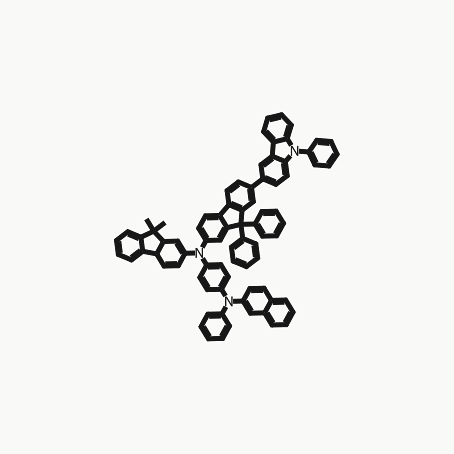 CC1(C)c2ccccc2C2C=CC(N(c3ccc(N(c4ccccc4)c4ccc5ccccc5c4)cc3)c3ccc4c(c3)C(c3ccccc3)(c3ccccc3)c3cc(-c5ccc6c(c5)c5ccccc5n6-c5ccccc5)ccc3-4)=CC21